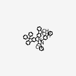 CCC1C(c2ccccc2)=NC(c2ccc(-c3ccccc3)cc2)=NC1c1cc2c(cc1-c1ccc3c(c1)-c1ccccc1C3(C)C)C(c1ccccc1)(c1ccccc1)c1ccccc1-2